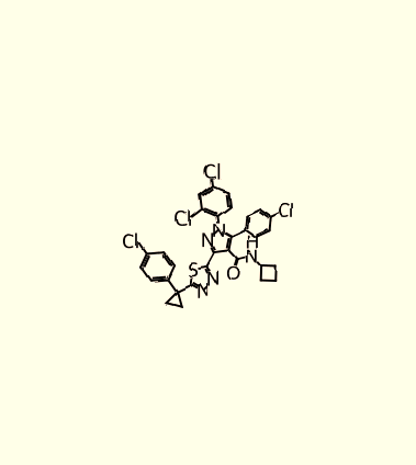 O=C(NC1CCC1)c1c(-c2nnc(C3(c4ccc(Cl)cc4)CC3)s2)nn(-c2ccc(Cl)cc2Cl)c1-c1ccc(Cl)cc1